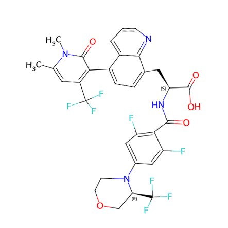 Cc1cc(C(F)(F)F)c(-c2ccc(C[C@H](NC(=O)c3c(F)cc(N4CCOC[C@@H]4C(F)(F)F)cc3F)C(=O)O)c3ncccc23)c(=O)n1C